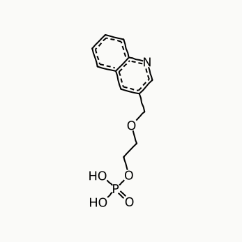 O=P(O)(O)OCCOCc1cnc2ccccc2c1